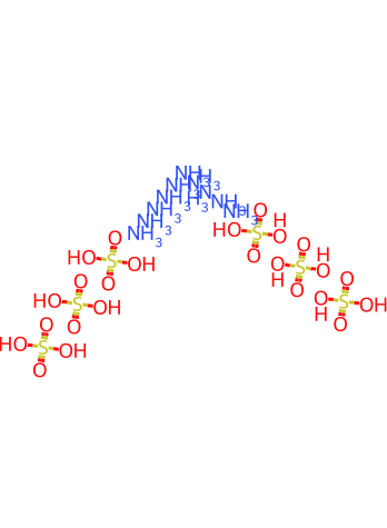 N.N.N.N.N.N.N.N.N.N.O=S(=O)(O)O.O=S(=O)(O)O.O=S(=O)(O)O.O=S(=O)(O)O.O=S(=O)(O)O.O=S(=O)(O)O